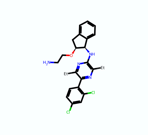 CCc1nc(-c2ccc(Cl)cc2Cl)c(CC)nc1N[C@@H]1c2ccccc2C[C@@H]1OCCN